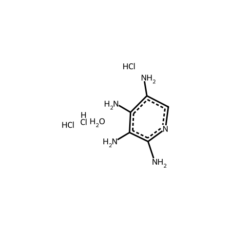 Cl.Cl.Cl.Nc1cnc(N)c(N)c1N.O